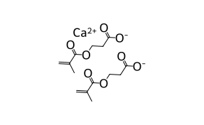 C=C(C)C(=O)OCCC(=O)[O-].C=C(C)C(=O)OCCC(=O)[O-].[Ca+2]